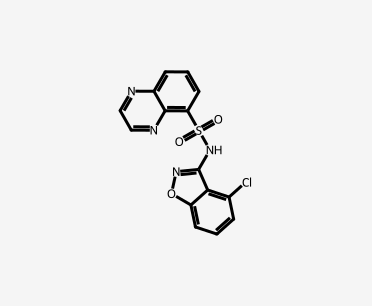 O=S(=O)(Nc1noc2cccc(Cl)c12)c1cccc2nccnc12